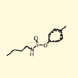 CCCCNS(=O)Oc1ccc(C)cc1